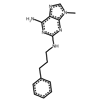 Cn1cnc2c(N)nc(NCCCc3ccccc3)nc21